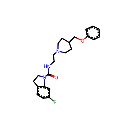 O=C(NCCN1CCC(COc2ccccc2)CC1)N1CCc2ccc(F)cc21